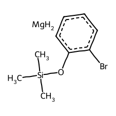 C[Si](C)(C)Oc1ccccc1Br.[MgH2]